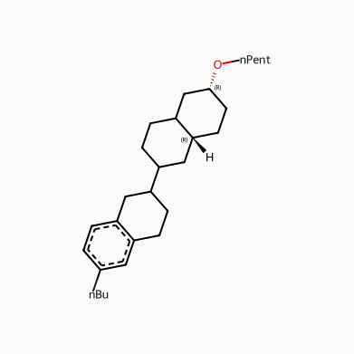 CCCCCO[C@@H]1CC[C@@H]2CC(C3CCc4cc(CCCC)ccc4C3)CCC2C1